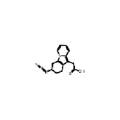 [N-]=[N+]=NC1CCc2c(CC(=O)O)c3ccccn3c2C1